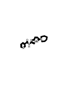 O=C(Nc1cn2nc(N3CCCCCC3)ccc2n1)c1cccnc1